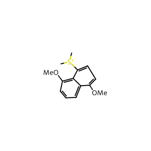 COc1ccc([S+](C)C)c2c(OC)cccc12